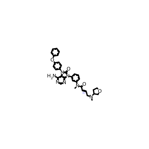 CN(C(=O)/C=C/CN(C)C1CCOC1)c1cccc(-n2c(=O)n(-c3ccc(Oc4ccccc4)cc3)c3c(N)ncnc32)c1